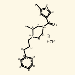 Cc1cc(C(=O)N2C[C@H](C)N(CCCc3ccccc3)C[C@H]2C)co1.Cl